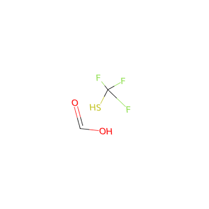 FC(F)(F)S.O=CO